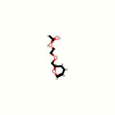 CC(=O)OCCOCC1CCC=CO1